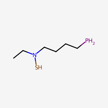 CCN(S)CCCCP